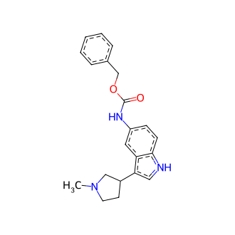 CN1CCC(c2c[nH]c3ccc(NC(=O)OCc4ccccc4)cc23)C1